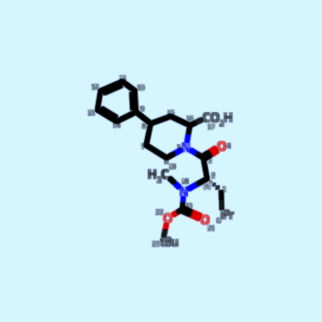 CC(C)C[C@@H](C(=O)N1CCC(c2ccccc2)CC1C(=O)O)N(C)C(=O)OC(C)(C)C